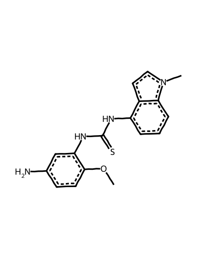 COc1ccc(N)cc1NC(=S)Nc1cccc2c1ccn2C